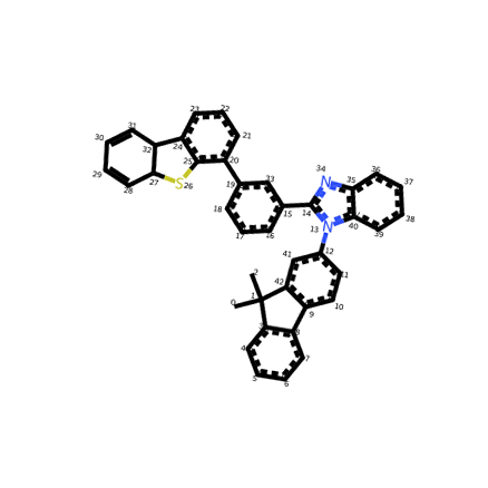 CC1(C)c2ccccc2-c2ccc(-n3c(-c4cccc(-c5cccc6c5SC5C=CC=CC65)c4)nc4ccccc43)cc21